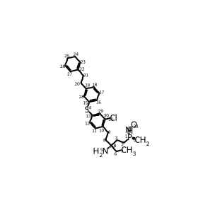 C=[PH](CC[C@](N)(CC)CCc1ccc(Sc2cccc(CCC3=CCCC=C3)c2)cc1Cl)N=O